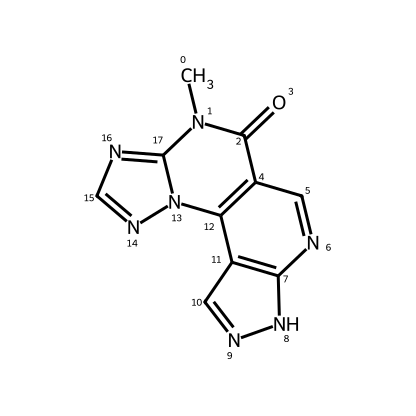 Cn1c(=O)c2cnc3[nH]ncc3c2n2ncnc12